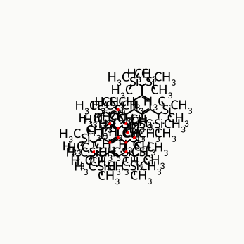 C[Si](C)(C)C(c1cc(C([Si](C)(C)C)[Si](C)(C)C)c([S][Bi]([S]c2c(C([Si](C)(C)C)[Si](C)(C)C)cc(C([Si](C)(C)C)[Si](C)(C)C)cc2C([Si](C)(C)C)[Si](C)(C)C)[S]c2c(C([Si](C)(C)C)[Si](C)(C)C)cc(C([Si](C)(C)C)[Si](C)(C)C)cc2C([Si](C)(C)C)[Si](C)(C)C)c(C([Si](C)(C)C)[Si](C)(C)C)c1)[Si](C)(C)C